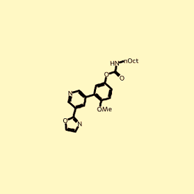 CCCCCCCCNC(=O)Oc1ccc(OC)c(-c2cncc(-c3ncco3)c2)c1